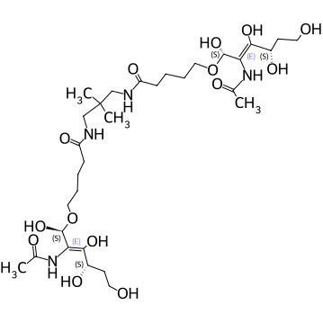 CC(=O)N/C(=C(/O)[C@@H](O)CCO)[C@@H](O)OCCCCC(=O)NCC(C)(C)CNC(=O)CCCCO[C@H](O)/C(NC(C)=O)=C(\O)[C@@H](O)CCO